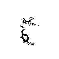 CCCCC[C@H](O)[C@@H]1O[C@H]1COCc1ccc(OC)cc1